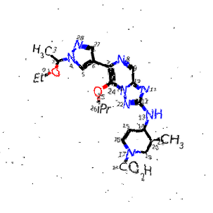 CCOC(C)n1cc(-c2ncc3nc(NC4CCN(C(=O)O)C[C@@H]4C)nn3c2OC(C)C)cn1